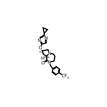 O=C1[C@H]2C[C@H](Oc3cnc(C4CC4)cn3)CN2CCCN1Cc1ccc(C(F)(F)F)cc1